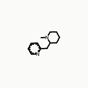 CN1CCCCC1Cc1ccccn1